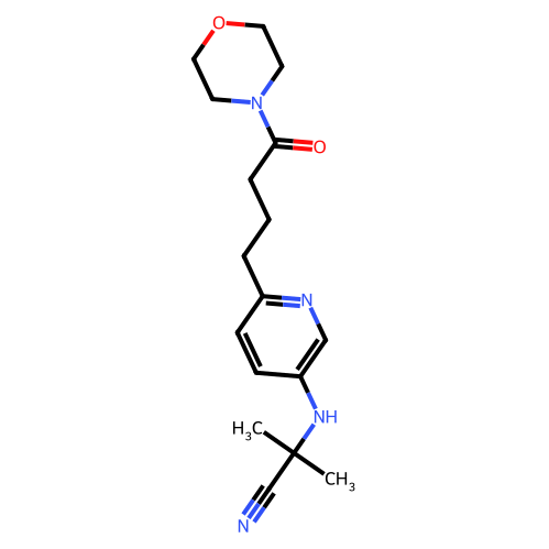 CC(C)(C#N)Nc1ccc(CCCC(=O)N2CCOCC2)nc1